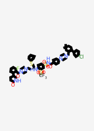 CC1(C)CCC(c2ccc(Cl)cc2)=C(CN2CCN(c3ccc(C(=O)NS(=O)(=O)c4ccc(N[C@H](CCN5CCN(Cc6c(F)cccc6C6CCC(=O)NC6=O)CC5)CSc5ccccc5)c(S(=O)(=O)C(F)(F)F)c4)cc3)CC2)C1